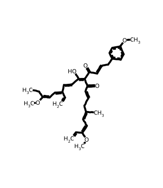 C=CC(/C=C/C(O)=C(\C(=O)/C=C/C/C(C)=C/C=C(\C=C)OC)C(=O)/C=C/Cc1ccc(OC)cc1)=C\C=C(/CC)OC